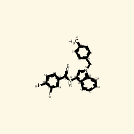 Cc1ccc(Cn2cc(NC(=O)c3ccc(F)c(F)c3)c3ccccc32)cc1